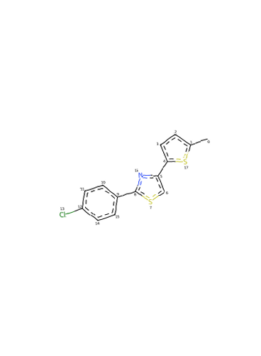 Cc1ccc(-c2csc(-c3ccc(Cl)cc3)n2)s1